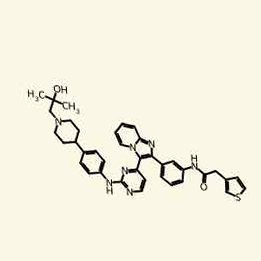 CC(C)(O)CN1CCC(c2ccc(Nc3nccc(-c4c(-c5cccc(NC(=O)Cc6ccsc6)c5)nc5ccccn45)n3)cc2)CC1